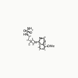 COc1cccc2c(N3CC(C)(CCNS(N)(=O)=O)C3)ncnc12